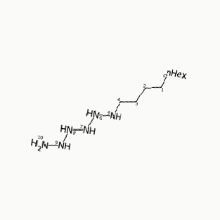 CCCCCCCCCCNNNNNN